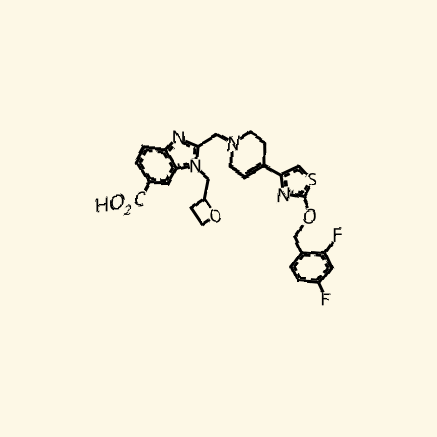 O=C(O)c1ccc2nc(CN3CC=C(c4csc(OCc5ccc(F)cc5F)n4)CC3)n(CC3CCO3)c2c1